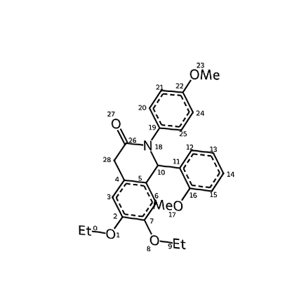 CCOc1cc2c(cc1OCC)C(c1ccccc1OC)N(c1ccc(OC)cc1)C(=O)C2